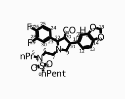 CCCCCS(=O)(=O)N(CCC)CCN1CC(c2ccc3c(c2)OCO3)C(C(=O)O)C1c1ccc(F)c(F)c1